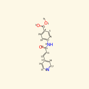 COC(=O)c1ccc(NC(=O)/C=C/c2ccncc2)cc1